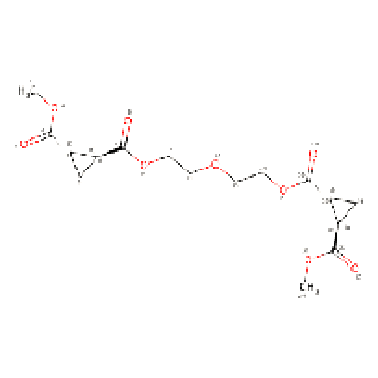 COC(=O)[C@H]1C[C@@H]1C(=O)OCCOCCOC(=O)[C@@H]1C[C@H]1C(=O)OC